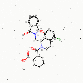 O=C(O)[C@H]1CCCC[C@H]1C(=O)N1CCc2c(Br)ccc(O)c2[C@H]1CN1Cc2ccccc2C1=O